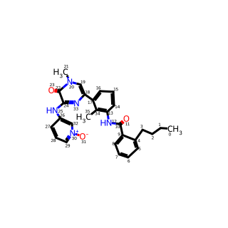 CCCCc1ccccc1C(=O)Nc1cccc(-c2cn(C)c(=O)c(Nc3ccc[n+]([O-])c3)n2)c1C